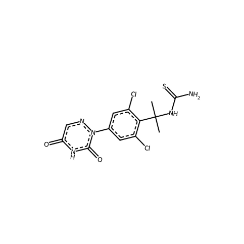 CC(C)(NC(N)=S)c1c(Cl)cc(-n2ncc(=O)[nH]c2=O)cc1Cl